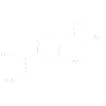 COc1cc(C(CN)C(=O)O)ccc1C(CN)C(=O)O